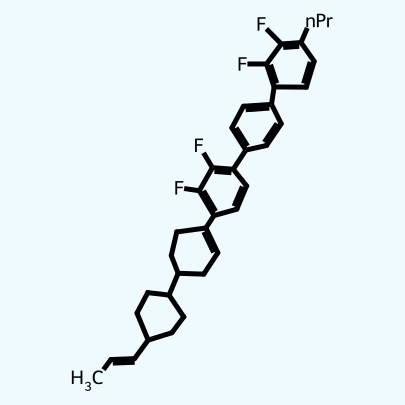 C/C=C/C1CCC(C2CC=C(c3ccc(-c4ccc(-c5ccc(CCC)c(F)c5F)cc4)c(F)c3F)CC2)CC1